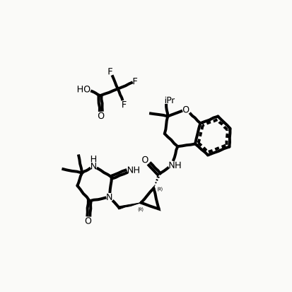 CC(C)C1(C)CC(NC(=O)[C@@H]2C[C@H]2CN2C(=N)NC(C)(C)CC2=O)c2ccccc2O1.O=C(O)C(F)(F)F